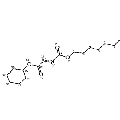 CCCCCCCOC(=O)N=NC(=O)OC1CCCCC1